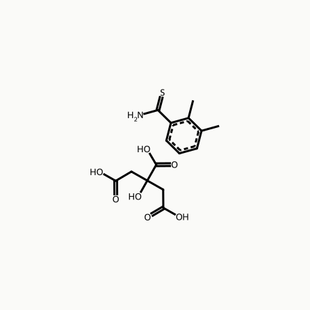 Cc1cccc(C(N)=S)c1C.O=C(O)CC(O)(CC(=O)O)C(=O)O